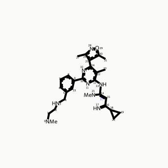 CNCCNCc1cccc(-c2nc(N/C(=C/C(=N)C3CC3)NC)c(C)c(-c3c(C)noc3C)n2)c1